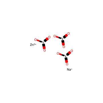 [Na+].[O]=[V](=[O])[O-].[O]=[V](=[O])[O-].[O]=[V](=[O])[O-].[Zn+2]